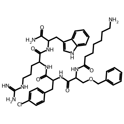 N=C(N)NCCCC(NC(=O)C(Cc1ccc(Cl)cc1)NC(=O)C(COCc1ccccc1)NC(=O)CCCCCCN)C(=O)NC(Cc1c[nH]c2ccccc12)C(N)=O